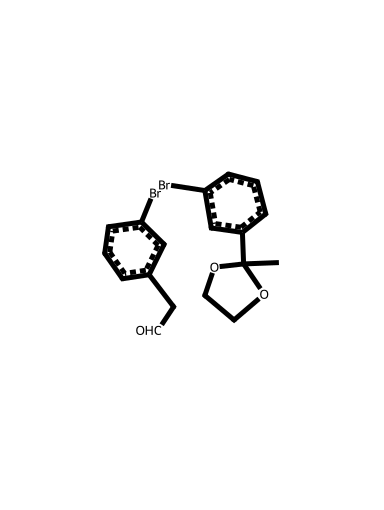 CC1(c2cccc(Br)c2)OCCO1.O=CCc1cccc(Br)c1